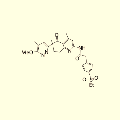 CCS(=O)(=O)c1ccc(CC(=O)Nc2cc(C)c3c(n2)CCC(C)(c2cc(C)c(OC)nn2)C3=O)cc1